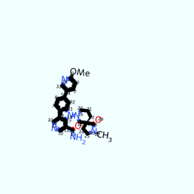 COc1ccc(-c2ccc3c4cncc(C(N)=O)c4n(N4CCC[C@@]5(CCN(C)C5=O)C4)c3c2)cn1